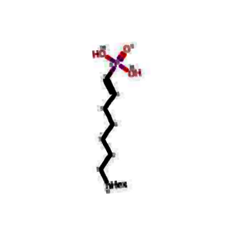 CCCCCCCCCCCC=CP(=O)(O)O